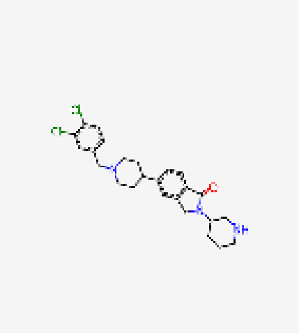 O=C1c2ccc(C3CCN(Cc4ccc(Cl)c(Cl)c4)CC3)cc2CN1C1CCCNC1